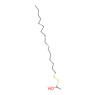 CCCCCCCCCCCCCCCCSSC(C)O